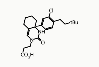 CC(C)(C)CCc1ccc([C@]23CCCCC2=CN(CCC(=O)O)C(=O)N3)cc1Cl